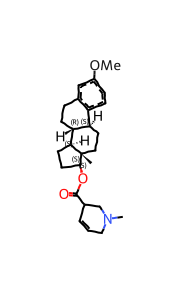 COc1ccc2c(c1)CC[C@@H]1[C@@H]2CC[C@]2(C)[C@@H](OC(=O)C3C=CCN(C)C3)CC[C@@H]12